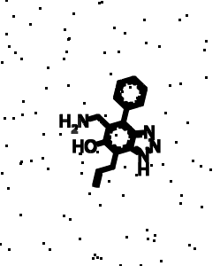 C=CCc1c(O)c(CN)c(-c2ccccc2)c2nn[nH]c12